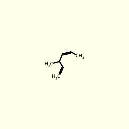 C=CC(C)/C=C\C